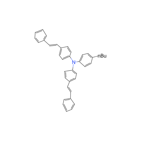 CCCCc1ccc(N(c2ccc(/C=C/c3ccccc3)cc2)c2ccc(/C=C/c3ccccc3)cc2)cc1